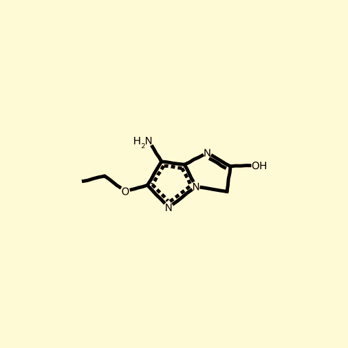 CCOc1nn2c(c1N)N=C(O)C2